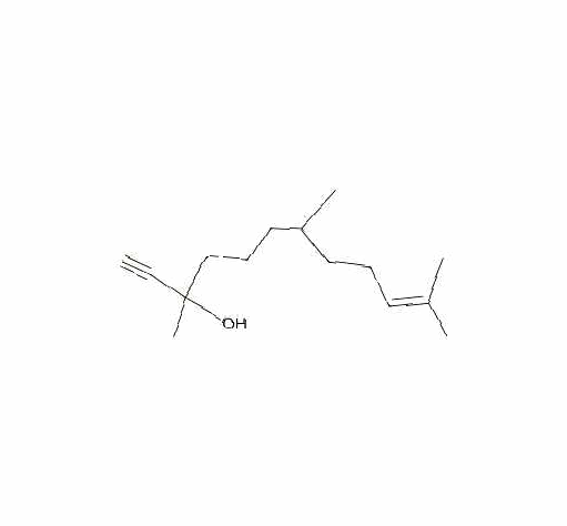 C#CC(C)(O)CCCC(C)CCC=C(C)C